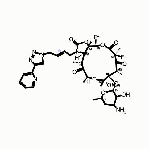 CC[C@H]1OC(=O)[C@@](C)(F)C(=O)[C@H](C)[C@@H](O[C@@H]2O[C@H](C)CC(N)C2O)[C@](C)(OC)C[C@@H](C)C(=O)[C@H](C)[C@H]2N(C/C=C/Cn3cc(-c4ccccn4)nn3)C(=O)O[C@]12C